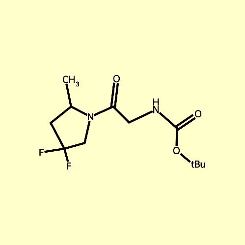 CC1CC(F)(F)CN1C(=O)CNC(=O)OC(C)(C)C